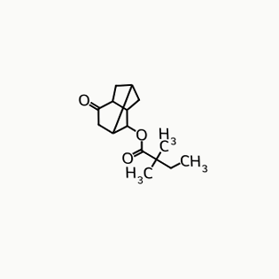 CCC(C)(C)C(=O)OC1C2CC(=O)C3CC2CC31